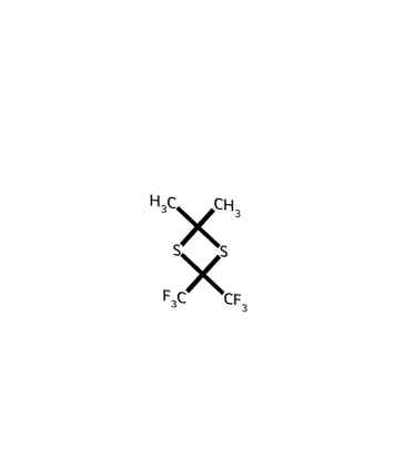 CC1(C)SC(C(F)(F)F)(C(F)(F)F)S1